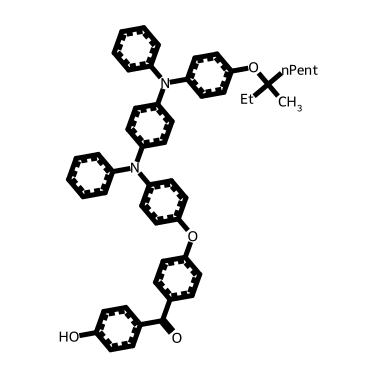 CCCCCC(C)(CC)Oc1ccc(N(c2ccccc2)c2ccc(N(c3ccccc3)c3ccc(Oc4ccc(C(=O)c5ccc(O)cc5)cc4)cc3)cc2)cc1